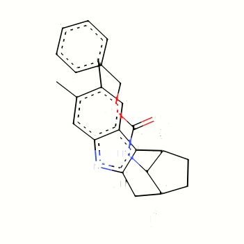 Cc1cc2[nH]c3c(c2cc1C)[C@H]1CC[C@@H](C3)[C@H]1NC(=O)OCc1ccccc1